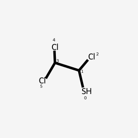 SC(Cl)C(Cl)Cl